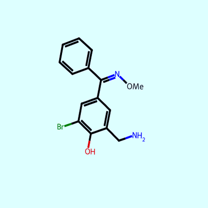 CON=C(c1ccccc1)c1cc(Br)c(O)c(CN)c1